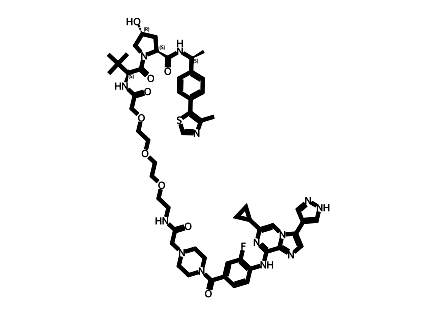 Cc1ncsc1-c1ccc([C@H](C)NC(=O)[C@@H]2C[C@@H](O)CN2C(=O)[C@@H](NC(=O)COCCOCCOCCNC(=O)CN2CCN(C(=O)c3ccc(Nc4nc(C5CC5)cn5c(-c6cn[nH]c6)cnc45)c(F)c3)CC2)C(C)(C)C)cc1